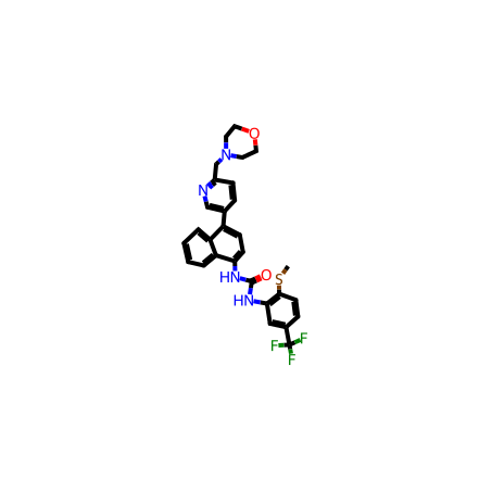 CSc1ccc(C(F)(F)F)cc1NC(=O)Nc1ccc(-c2ccc(CN3CCOCC3)nc2)c2ccccc12